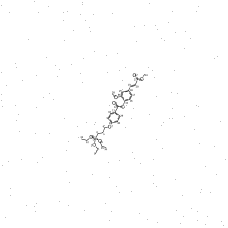 CCO[Si](CCCOc1ccc(C(=O)Oc2ccc(/C=C/C(=O)OC)cc2OC)cc1)(OCC)OCC